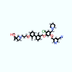 Cc1c(COc2cc(OCc3cncc(C#N)c3)c(CN3CCCCC3)cc2Cl)cccc1-c1cccc(OCCCN2CCC3(CC3O)C2)c1C